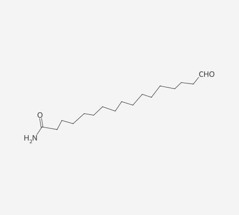 NC(=O)CCCCCCCCCCCCCCCC=O